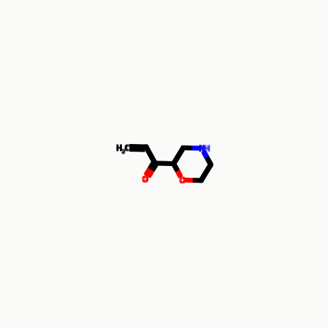 C=CC(=O)C1CNCCO1